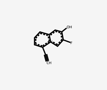 C#Cc1cccc2cc(O)c(F)cc12